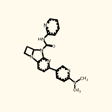 CN(C)c1ccc(-c2ccc3c(n2)N(C(=O)Nc2ccccn2)C2CCN32)cn1